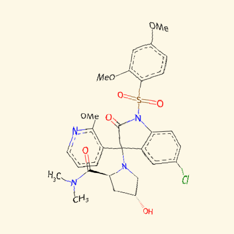 COc1ccc(S(=O)(=O)N2C(=O)C(c3cccnc3OC)(N3C[C@H](O)C[C@H]3C(=O)N(C)C)c3cc(Cl)ccc32)c(OC)c1